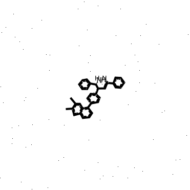 Cc1cc2cccc(-c3ccc(C(/C=C(\N)c4ccccc4)[C@@H](N)c4ccccc4)cc3)c2cc1C